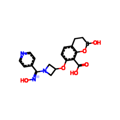 O=C(O)c1c(OC2CN(/C(=N/O)c3ccncc3)C2)ccc2c1OB(O)CC2